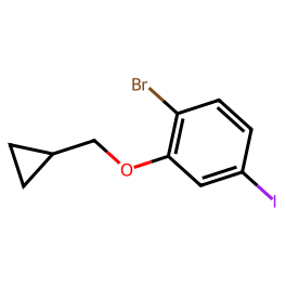 Brc1ccc(I)cc1OCC1CC1